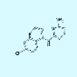 Nc1cccc(Nc2nccc3cc(Cl)ccc23)n1